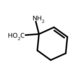 NC1(C(=O)O)C=CCCC1